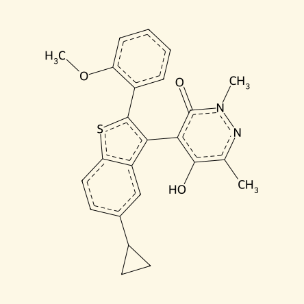 COc1ccccc1-c1sc2ccc(C3CC3)cc2c1-c1c(O)c(C)nn(C)c1=O